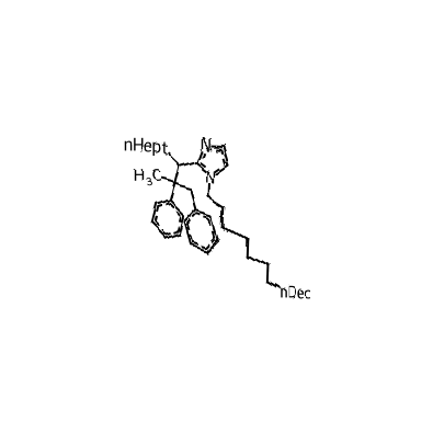 CCCCCCCCCCCCCCCCCn1ccnc1C(CCCCCCC)C(C)(Cc1ccccc1)c1ccccc1